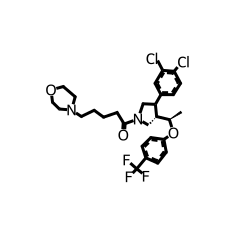 C[C@@H](Oc1ccc(C(F)(F)F)cc1)[C@@H]1CN(C(=O)CCCCN2CCOCC2)CC1c1ccc(Cl)c(Cl)c1